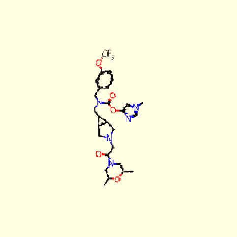 CC1CN(C(=O)CN2CC3C(C2)C3CN(Cc2cccc(OC(F)(F)F)c2)C(=O)Oc2cn(C)cn2)CC(C)O1